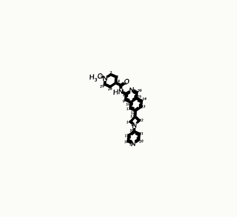 CN1CCC(C(=O)Nc2cc3cc(C4CN(c5ccncc5)C4)ccc3cn2)CC1